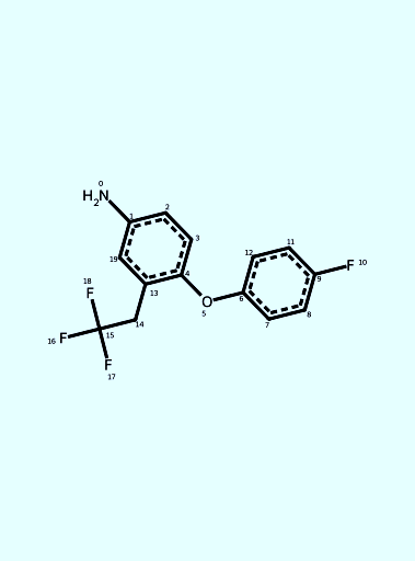 Nc1ccc(Oc2ccc(F)cc2)c(CC(F)(F)F)c1